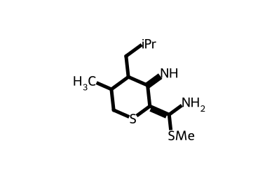 CS/C(N)=C1\SCC(C)C(CC(C)C)C1=N